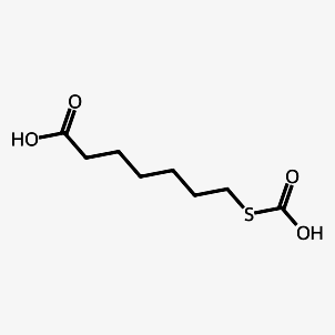 O=C(O)CCCCCCSC(=O)O